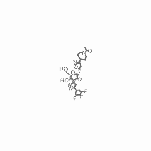 CO[C@@H]1[C@@H](n2cc(-c3cc(F)c(F)c(F)c3)nn2)[C@@H](O)[C@@H](CO)O[C@@H]1C[C@H]1CC(C2CCN(C(C)=O)CC2)=NO1